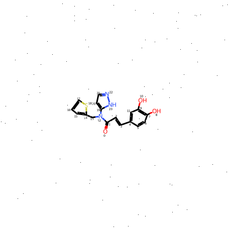 O=C(/C=C/c1ccc(O)c(O)c1)N(Cc1cccs1)c1ccn[nH]1